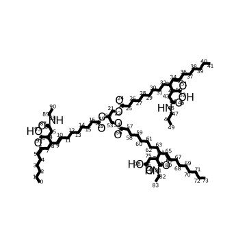 CCCCC/C=C\CC(/C=C/CCCCCCC(=O)OC(COC(=O)CCCCCCCCC(/C=C/CCCCCC)C(CC(=O)NCCC)C(=O)O)COC(=O)CCCCCCCC(/C=C/CCCCCCC)C(CC(=O)O)C(=O)NCC)C(CC(=O)NCC)C(=O)O